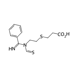 N=C(c1ccccc1)N(C=S)CCSCCC(=O)O